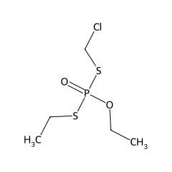 CCOP(=O)(SCC)SCCl